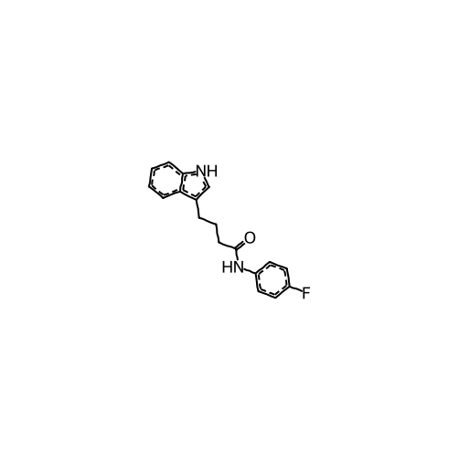 O=C(CCCc1c[nH]c2ccccc12)Nc1ccc(F)cc1